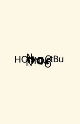 CC(C)(C)OC(=O)N1CCN(c2cnc(O)nc2)CC1